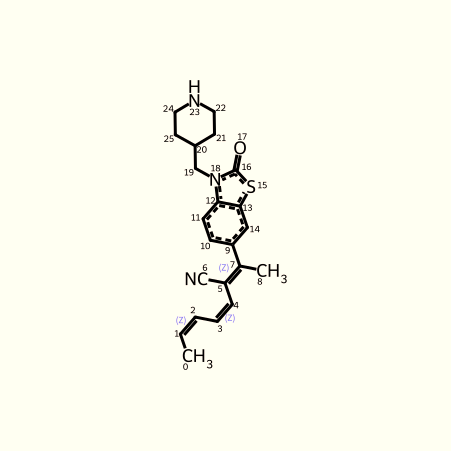 C\C=C/C=C\C(C#N)=C(/C)c1ccc2c(c1)sc(=O)n2CC1CCNCC1